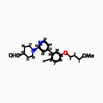 COCCCOc1ccc(C)c(-c2ccnc(N3CCC(C=O)CC3)c2)c1